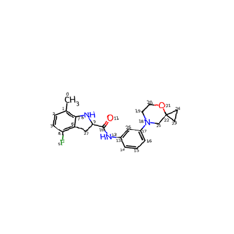 Cc1ccc(F)c2c1NC(C(=O)Nc1cccc(N3CCOC4(CC4)C3)c1)C2